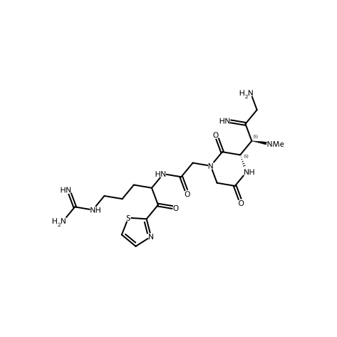 CN[C@H](C(=N)CN)[C@@H]1NC(=O)CN(CC(=O)NC(CCCNC(=N)N)C(=O)c2nccs2)C1=O